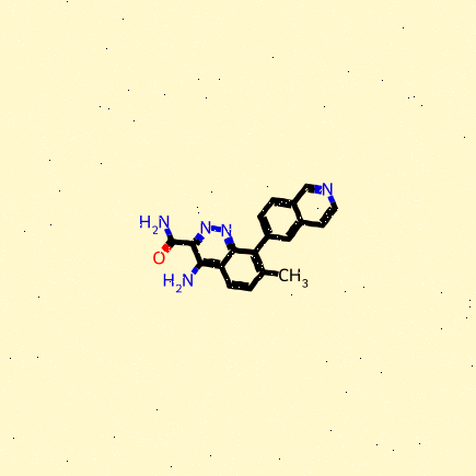 Cc1ccc2c(N)c(C(N)=O)nnc2c1-c1ccc2cnccc2c1